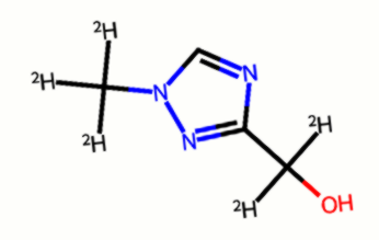 [2H]C([2H])(O)c1ncn(C([2H])([2H])[2H])n1